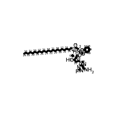 C#C[C@]1(CO[P@](=O)(N[C@@H](C)C(=O)OCCCCCCCCCCCCCCCCCCCCCC)Oc2ccccc2)O[C@@H](n2cnc3c(N)nc(F)nc32)C[C@@H]1O